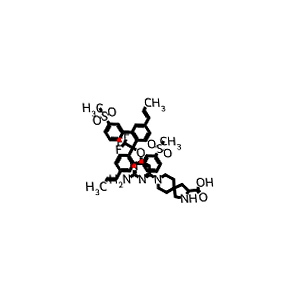 CC=Cc1ccc(C(Oc2cc(N3CCC4(CC3)CNC(C(=O)O)C4)nc(N)n2)(c2ccc(C=CC)cc2-c2cccc(S(C)(=O)=O)c2)C(F)(F)F)c(-c2cccc(S(C)(=O)=O)c2)c1